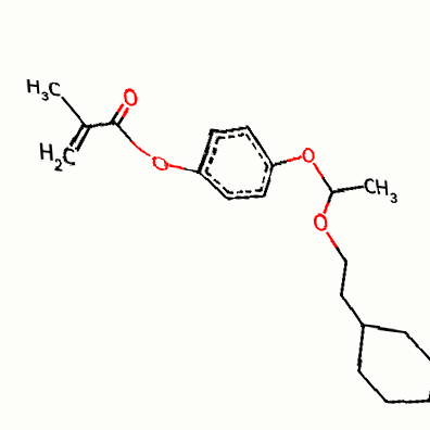 C=C(C)C(=O)Oc1ccc(OC(C)OCCC2CCCCC2)cc1